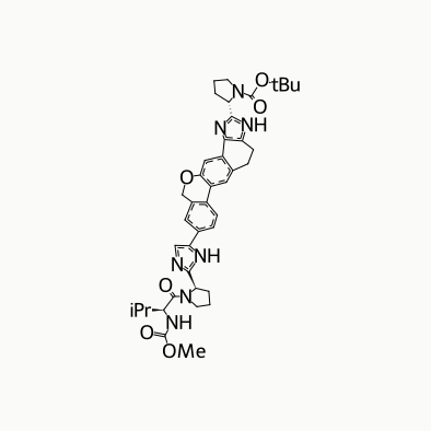 COC(=O)N[C@H](C(=O)N1CCC[C@@H]1c1ncc(-c2ccc3c(c2)COc2cc4c(cc2-3)CCc2[nH]c([C@@H]3CCCN3C(=O)OC(C)(C)C)nc2-4)[nH]1)C(C)C